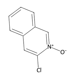 [O-][n+]1cc2ccccc2cc1Cl